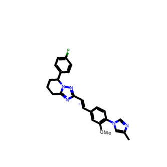 COc1cc(/C=C/c2nc3n(n2)C(c2ccc(F)cc2)CCC3)ccc1-n1cnc(C)c1